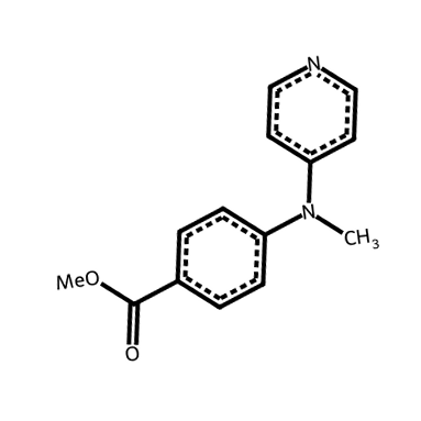 COC(=O)c1ccc(N(C)c2ccncc2)cc1